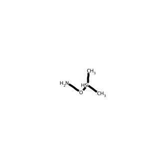 C[SiH](C)ON